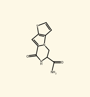 NC(=O)C1Cn2c(cc3sccc32)C(=O)N1